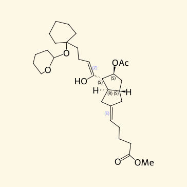 COC(=O)CCC/C=C1\C[C@H]2C[C@H](OC(C)=O)[C@@H](/C(O)=C/CCC3(OC4CCCCO4)CCCCC3)[C@@H]2C1